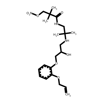 C=CCOc1ccccc1OCC(O)CNC(C)(C)CNC(=O)C(C)(C)CO[N+](=O)[O-]